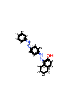 Oc1ccc2c(c1/N=N/c1ccc(/N=N/c3ccccc3)cc1)CCCC2